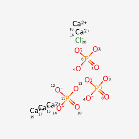 O=P([O-])([O-])[O-].O=P([O-])([O-])[O-].O=P([O-])([O-])[O-].[Ca+2].[Ca+2].[Ca+2].[Ca+2].[Ca+2].[Cl-]